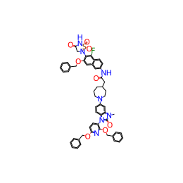 Cn1c(=O)n(-c2ccc(OCc3ccccc3)nc2OCc2ccccc2)c2ccc(N3CCCC(CC(=O)Nc4ccc5c(F)c(N6CC(=O)NS6(=O)=O)c(OCc6ccccc6)cc5c4)CC3)cc21